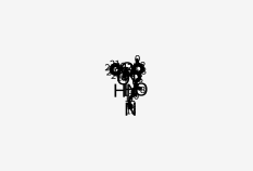 Cc1ccc(C=CC(=O)NCCC#N)c(NS(=O)(=O)c2ccccc2)c1